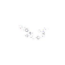 [2H]C1([2H])N(CC2CCN(c3ccc(Nc4ncc5cc(C(=O)N(C)C)n(C6CCCC6)c5n4)nc3)CC2)C([2H])([2H])C([2H])([2H])N(c2cc3c(cc2F)C(=O)N(C2CCC(=O)NC2=O)C3=O)C1([2H])[2H]